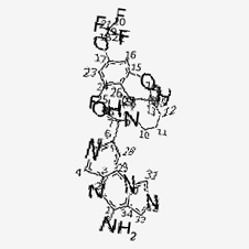 Nc1nc2cnc(C(=O)N3CCC[C@@H]4Oc5cc(OC(F)(F)F)cc(F)c5[C@@H]43)cc2n2cncc12